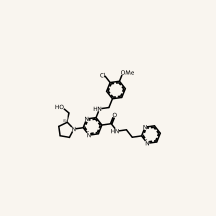 COc1ccc(CNc2nc(N3CCC[C@H]3CO)ncc2C(=O)NCCc2ncccn2)cc1Cl